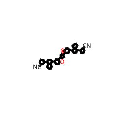 N#Cc1cccc(-c2ccc(-c3ccc4oc5cc6c(cc5c4c3)oc3ccc(-c4ccc(-c5cccc(C#N)c5)c5ccccc45)cc36)c3ccccc23)c1